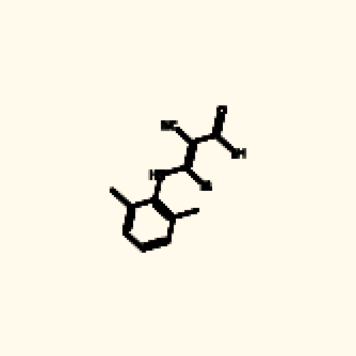 CCC(Nc1c(C)cccc1C)=C(C#N)C(=O)S